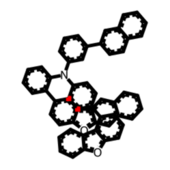 c1cc(-c2ccc3ccccc3c2)cc(N(c2ccc(-c3cccc4oc5ccccc5c34)cc2)c2ccccc2-c2ccc3oc4cc5ccccc5cc4c3c2)c1